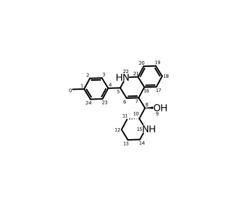 Cc1ccc(C2C=C([C@@H](O)[C@H]3CCCCN3)c3ccccc3N2)cc1